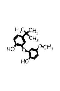 COc1ccc(O)c(Oc2cc(C(C)(C)C)ccc2O)c1